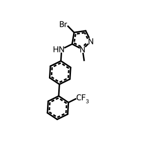 Cn1ncc(Br)c1Nc1ccc(-c2ccccc2C(F)(F)F)cc1